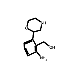 Nc1cccc(C2CNCCO2)c1CO